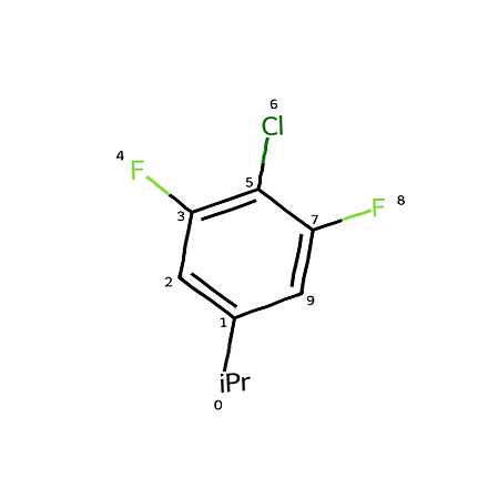 [CH2]C(C)c1cc(F)c(Cl)c(F)c1